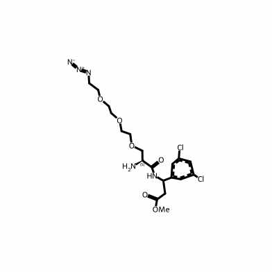 COC(=O)CC(NC(=O)[C@@H](N)COCCOCCOCCN=[N+]=[N-])c1cc(Cl)cc(Cl)c1